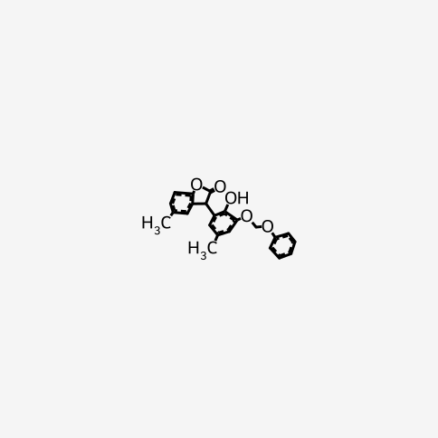 Cc1ccc2c(c1)C(c1cc(C)cc(OCOc3ccccc3)c1O)C(=O)O2